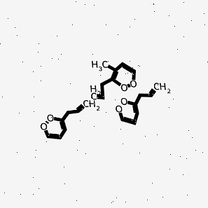 C=CCC1=C(C)C=COO1.C=CCC1=CC=COO1.C=CCC1=CC=COO1